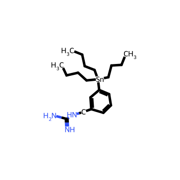 CCC[CH2][Sn]([CH2]CCC)([CH2]CCC)[c]1cccc(CNC(=N)N)c1